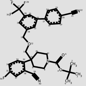 CC(C)(C)OC(=O)N1CCC(COCc2cc(-c3ccc(C#N)cc3)cc(C(F)(F)F)c2)(c2ccc(F)cc2C#N)CC1